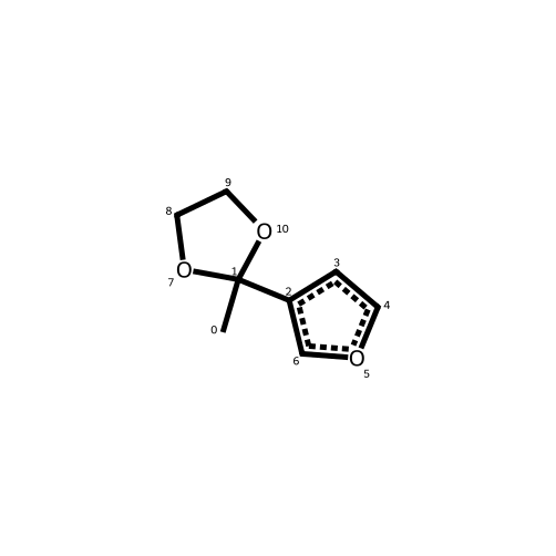 CC1(c2ccoc2)OCCO1